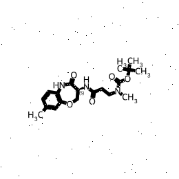 Cc1ccc2c(c1)OC[C@H](NC(=O)CCN(C)C(=O)OC(C)(C)C)C(=O)N2